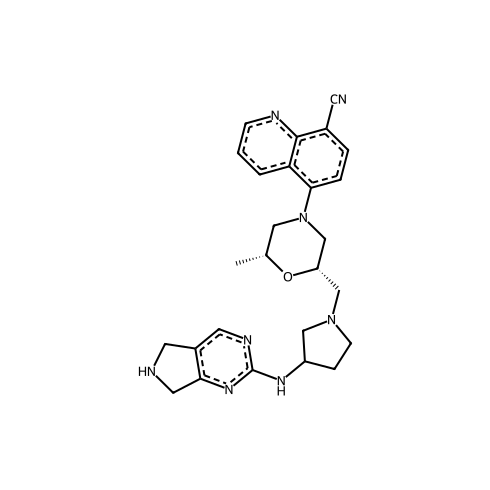 C[C@@H]1CN(c2ccc(C#N)c3ncccc23)C[C@H](CN2CCC(Nc3ncc4c(n3)CNC4)C2)O1